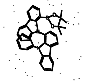 CC1(C)OB(c2cccc3c4ccccc4n(-c4cccc5c6ccccc6n(-c6ccccc6)c45)c23)OC1(C)C